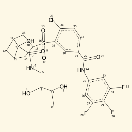 CC(O)C(O)CNC(=O)C1(O)C2CC1CC(S(=O)(=O)c1cc(C(=O)Nc3cc(F)c(F)c(F)c3)ccc1Cl)C2